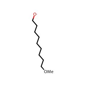 COCCCCCCCCC[O]